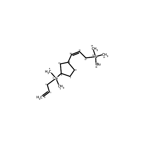 C=CC[Si](C)(C)C1CCC(/C=C\C[Si](C)(C)C(C)(C)C)C1